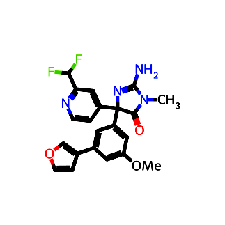 COc1cc(-c2ccoc2)cc(C2(c3ccnc(C(F)F)c3)N=C(N)N(C)C2=O)c1